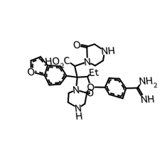 CCC(Oc1ccc(C(=N)N)cc1)C(c1ccc2occc2c1)(C(C(=O)O)N1CCNCC1=O)N1CCNCC1=O